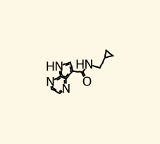 O=C(NCC1CC1)c1c[nH]c2nccnc12